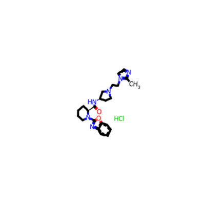 Cc1nccn1CCN1CC[C@H](NC(=O)[C@@H]2CCCCN2c2nc3ccccc3o2)C1.Cl